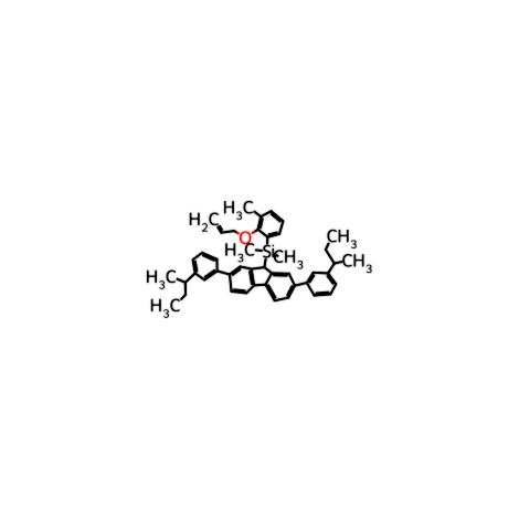 C=CCOc1c(C)cccc1[Si](C)(C)C1c2cc(-c3cccc(C(C)CC)c3)ccc2-c2ccc(-c3cccc(C(C)CC)c3)cc21